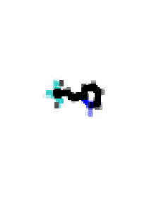 FC(F)(F)CC=C1CCCCN1